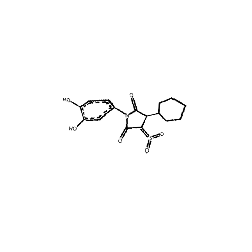 O=C1C(=S(=O)=O)C(C2CCCCC2)C(=O)N1c1ccc(O)c(O)c1